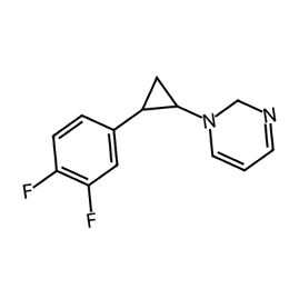 Fc1ccc(C2CC2N2C=CC=NC2)cc1F